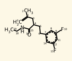 C=C(C)CC(CCc1cc(F)cc(F)c1)C(=O)NCC